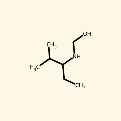 CCC(NCO)C(C)C